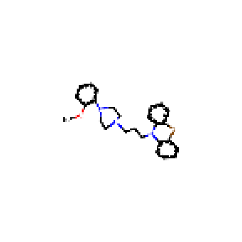 CCOc1ccccc1N1CCN(CCCN2c3ccccc3Sc3ccccc32)CC1